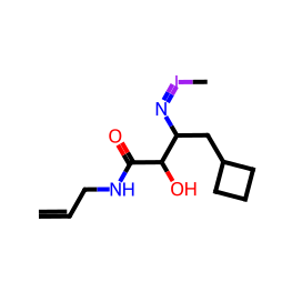 C=CCNC(=O)C(O)C(CC1CCC1)/N=I\C